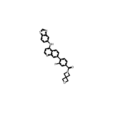 O=C(c1ccc(-c2ccc3c(Nc4ccc5scnc5c4)ccnc3c2)c(F)c1)N1CC2(COC2)C1